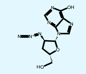 [N-]=[N+]=N[C@@H]1C[C@@H](CO)O[C@H]1n1cnc2c(O)ncnc21